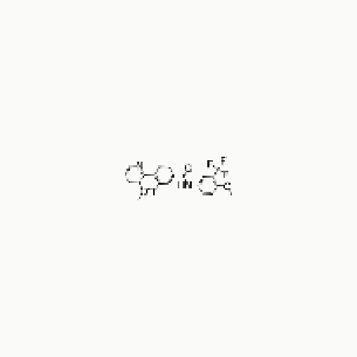 COc1ccc(NC(=O)c2ccc(-c3ncccc3OC)c(Cl)c2)cc1C(F)(F)F